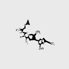 CCN(C(=O)NC(COC1CC1)C(F)(F)F)[C@@H](c1cc(-c2cn3cc(C)nc3c(OC)n2)c(OC)cn1)C(F)(F)F